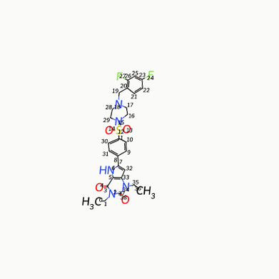 CCn1c(=O)c2[nH]c(-c3ccc(S(=O)(=O)N4CCN(Cc5ccc(F)cc5F)CC4)cc3)cc2n(CC)c1=O